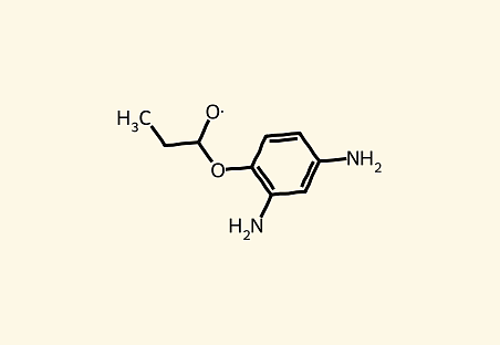 CCC([O])Oc1ccc(N)cc1N